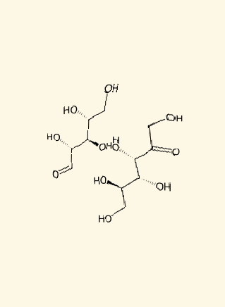 O=C(CO)[C@@H](O)[C@H](O)[C@H](O)CO.O=C[C@H](O)[C@H](O)[C@H](O)CO